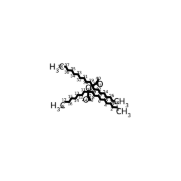 CCCCCCCCCCC(CCCCCCCC)(OC(CCCCCCCC)(CCCCCCCCCC)C1CO1)C1CO1